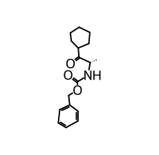 C[C@H](NC(=O)OCc1ccccc1)C(=O)C1CCCCC1